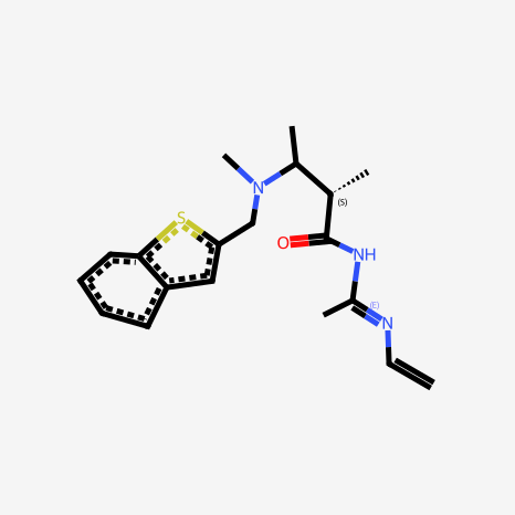 C=C/N=C(\C)NC(=O)[C@@H](C)C(C)N(C)Cc1cc2ccccc2s1